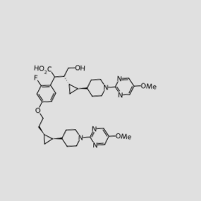 COc1cnc(N2CCC([C@H]3C[C@H]3CCOc3ccc(C(C(=O)O)C(CO)[C@H]4C[C@@H]4C4CCN(c5ncc(OC)cn5)CC4)c(F)c3)CC2)nc1